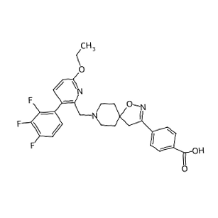 CCOc1ccc(-c2ccc(F)c(F)c2F)c(CN2CCC3(CC2)CC(c2ccc(C(=O)O)cc2)=NO3)n1